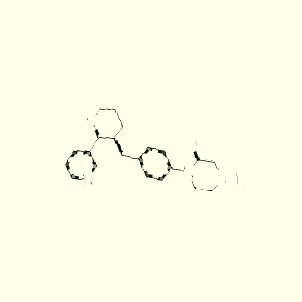 O=C1C[SH2]CCN1c1ccc(C=C2CCCN=C2c2cccnc2)cc1